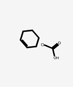 C1=CCCCC1.O=C(O)Cl